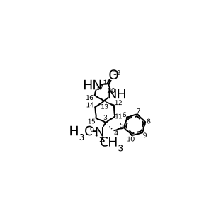 CN(C)[C@]1(Cc2ccccc2)CC[C@@]2(CC1)CNC(=O)N2